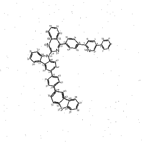 c1ccc(-c2ccc(-c3ccc(-c4nc(-n5c6ccccc6c6cc(-c7ccc(-c8ccc9sc%10ccccc%10c9c8)cc7)ccc65)nc5ccccc45)cc3)nc2)cc1